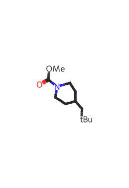 COC(=O)N1CCC(CC(C)(C)C)CC1